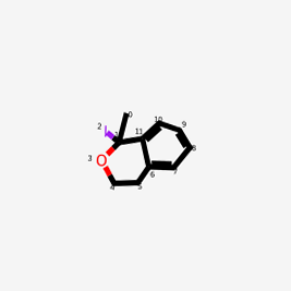 CC1(I)OCCc2ccccc21